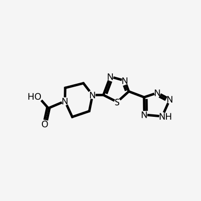 O=C(O)N1CCN(c2nnc(-c3nn[nH]n3)s2)CC1